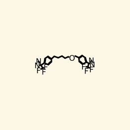 FC(F)(F)C1(c2ccc(CCCCCOCc3ccc(C4(C(F)(F)F)N=N4)cc3)cc2)N=N1